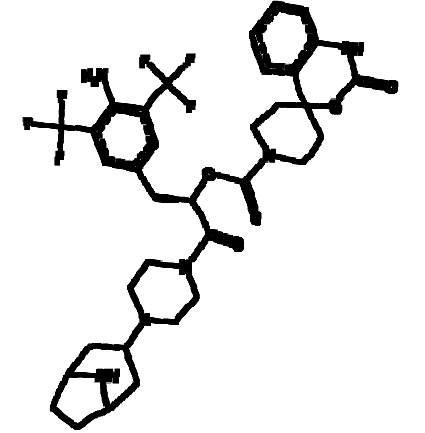 Nc1c(C(F)(F)F)cc(C[C@@H](OC(=O)N2CCC3(CC2)OC(=O)Nc2ccccc23)C(=O)N2CCN(C3CC4CCC(C3)N4)CC2)cc1C(F)(F)F